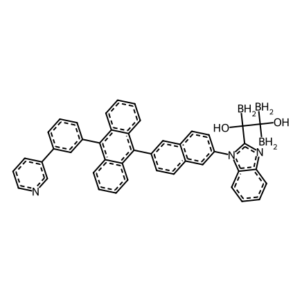 BC(B)(O)C(B)(O)c1nc2ccccc2n1-c1ccc2cc(-c3c4ccccc4c(-c4cccc(-c5cccnc5)c4)c4ccccc34)ccc2c1